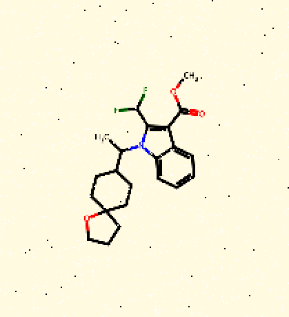 COC(=O)c1c(C(F)F)n(C(C)C2CCC3(CCCO3)CC2)c2ccccc12